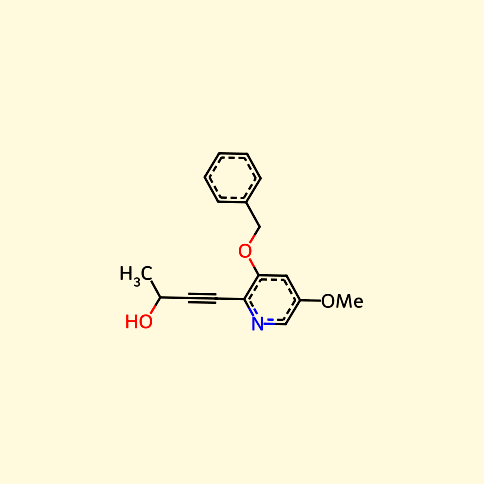 COc1cnc(C#CC(C)O)c(OCc2ccccc2)c1